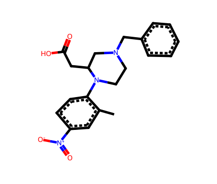 Cc1cc([N+](=O)[O-])ccc1N1CCN(Cc2ccccc2)CC1CC(=O)O